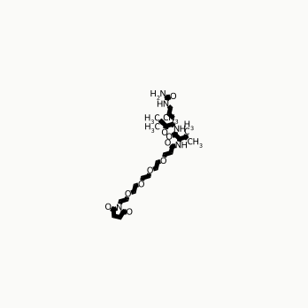 CC(C)C(NC(=O)CCOCCOCCOCCOCCN1C(=O)CCC1=O)C(=O)N[C@@H](CCCNC(N)=O)C(=O)C(C)(C)C